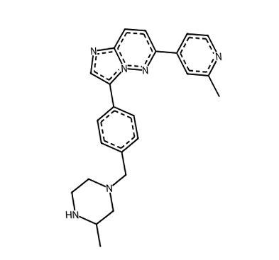 Cc1cc(-c2ccc3ncc(-c4ccc(CN5CCNC(C)C5)cc4)n3n2)ccn1